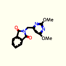 COc1cc(CN2C(=O)c3ccccc3C2=O)nc(OC)n1